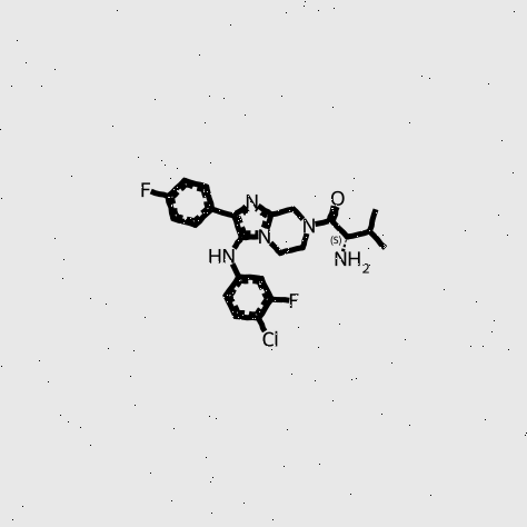 CC(C)[C@H](N)C(=O)N1CCn2c(nc(-c3ccc(F)cc3)c2Nc2ccc(Cl)c(F)c2)C1